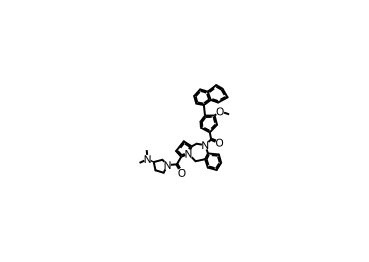 COc1cc(C(=O)N2Cc3ccc(C(=O)N4CC[C@@H](N(C)C)C4)n3Cc3ccccc32)ccc1-c1cccc2ccccc12